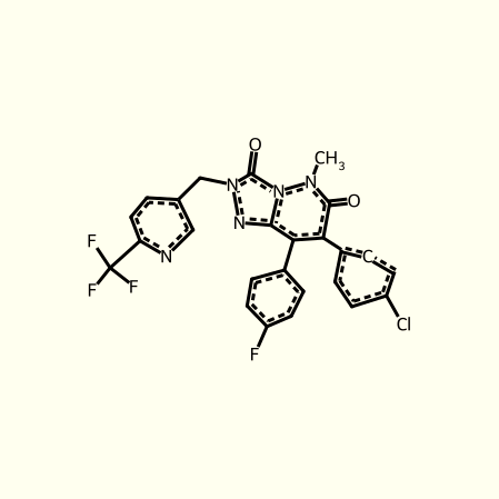 Cn1c(=O)c(-c2ccc(Cl)cc2)c(-c2ccc(F)cc2)c2nn(Cc3ccc(C(F)(F)F)nc3)c(=O)n21